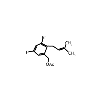 CC(=O)OCc1cc(F)cc(Br)c1CC=C(C)C